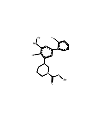 CCCNc1nc(-c2ccccc2O)cc(C2CCCN(C(=O)OC(C)(C)C)C2)c1C#N